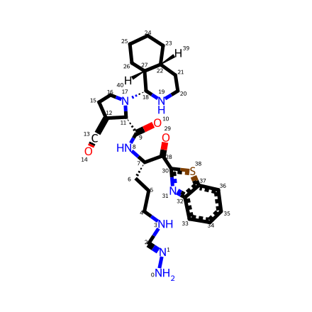 NN=CNCCC[C@H](NC(=O)[C@@H]1C(=C=O)CCN1[C@H]1NCC[C@H]2CCCC[C@H]21)C(=O)c1nc2ccccc2s1